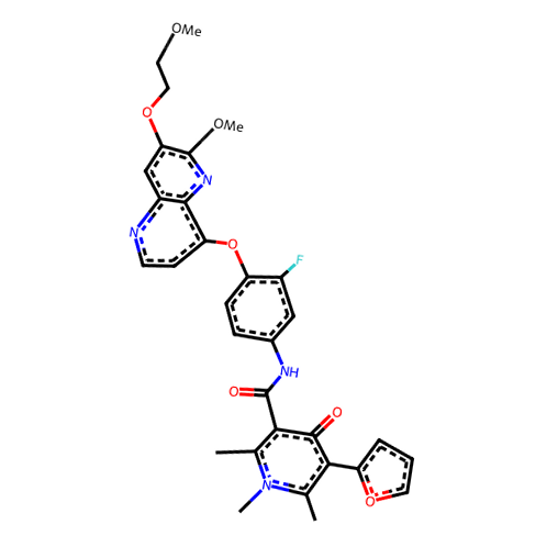 COCCOc1cc2nccc(Oc3ccc(NC(=O)c4c(C)n(C)c(C)c(-c5ccco5)c4=O)cc3F)c2nc1OC